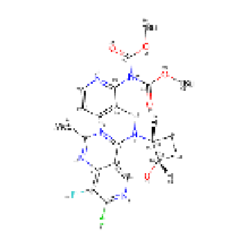 CSc1nc2c3c(nc(Cl)c(F)c3n1)O[C@H]1CC[C@H]1N2Cc1cccnc1N(C(=O)OC(C)(C)C)C(=O)OC(C)(C)C